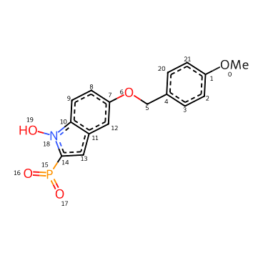 COc1ccc(COc2ccc3c(c2)cc(P(=O)=O)n3O)cc1